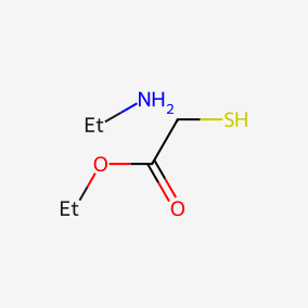 CCN.CCOC(=O)CS